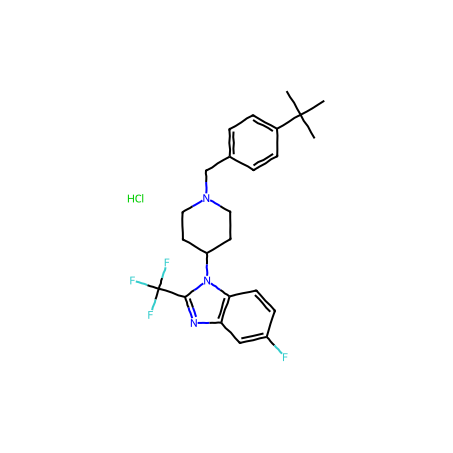 CC(C)(C)c1ccc(CN2CCC(n3c(C(F)(F)F)nc4cc(F)ccc43)CC2)cc1.Cl